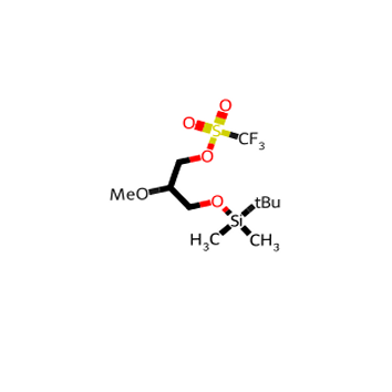 COC(CO[Si](C)(C)C(C)(C)C)COS(=O)(=O)C(F)(F)F